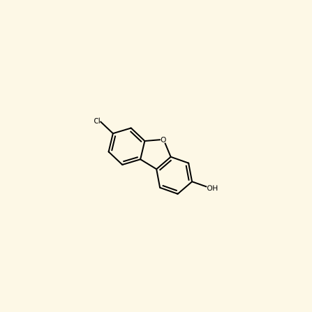 Oc1ccc2c(c1)oc1cc(Cl)ccc12